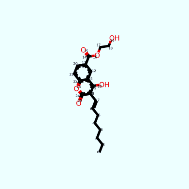 CCCCCCC=Cc1c(O)c2cc(C(=O)OCCO)ccc2oc1=O